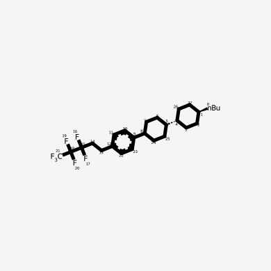 CCCC[C@H]1CC[C@H](C2CCC(c3ccc(CCC(F)(F)C(F)(F)C(F)(F)F)cc3)CC2)CC1